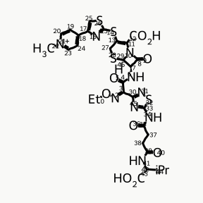 CCO/N=C(\C(=O)N[C@@H]1C(=O)N2C(C(=O)O)=C(Sc3nc(-c4cc[n+](C)cc4)cs3)CS[C@H]12)c1nsc(NC(=O)CCC(=O)N[C@H](C(=O)O)C(C)C)n1